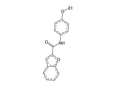 CCOc1ccc(NC(=O)c2cc3ccccc3o2)cc1